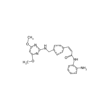 COc1cc(OC)nc(NCc2ccc(/C=C\C(=O)Nc3ccccc3N)cc2)n1